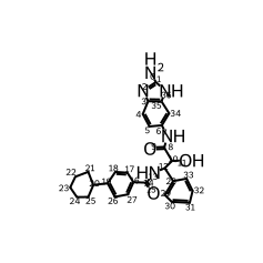 Nc1nc2ccc(NC(=O)C(O)C(NC(=O)c3ccc(C4CCCCC4)cc3)c3ccccc3)cc2[nH]1